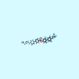 CCCC1CCC(c2ccc(C(=O)Oc3cc(F)c(-c4cc(F)c(/C=C/C(F)(F)F)c(F)c4)c(F)c3)cc2)CC1